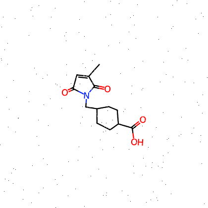 CC1=CC(=O)N(CC2CCC(C(=O)O)CC2)C1=O